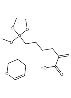 C1=COCCC1.C=C(CCCC[Si](OC)(OC)OC)C(=O)O